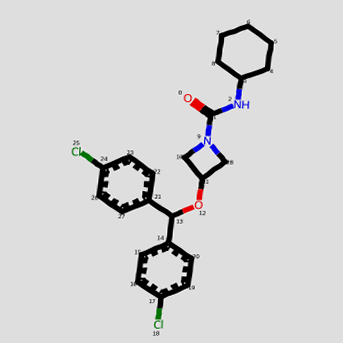 O=C(NC1CCCCC1)N1CC(OC(c2ccc(Cl)cc2)c2ccc(Cl)cc2)C1